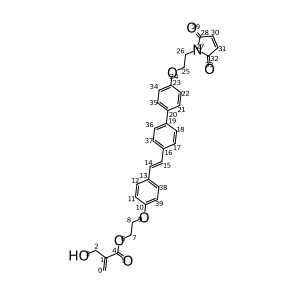 C=C(CO)C(=O)OCCOc1ccc(/C=C/c2ccc(-c3ccc(OCCN4C(=O)C=CC4=O)cc3)cc2)cc1